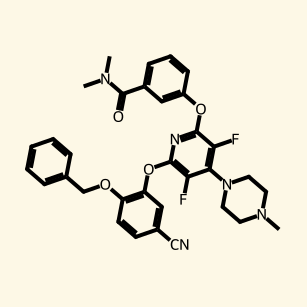 CN1CCN(c2c(F)c(Oc3cccc(C(=O)N(C)C)c3)nc(Oc3cc(C#N)ccc3OCc3ccccc3)c2F)CC1